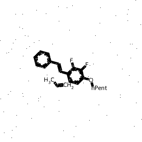 C=CC.CCCCCOc1ccc(C=Cc2ccccc2)c(F)c1F